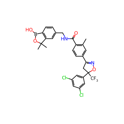 Cc1cc(C2=NOC(c3cc(Cl)cc(Cl)c3)(C(F)(F)F)C2)ccc1C(=O)NCc1ccc2c(c1)C(C)(C)OB2O